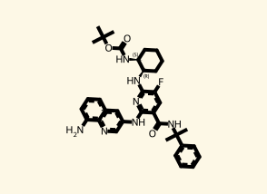 CC(C)(C)OC(=O)N[C@H]1CCCC[C@H]1Nc1nc(Nc2cnc3c(N)cccc3c2)c(C(=O)NC(C)(C)c2ccccc2)cc1F